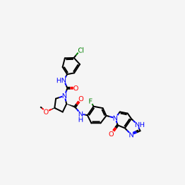 CO[C@@H]1C[C@H](C(=O)Nc2ccc(-n3ccc4[nH]cnc4c3=O)cc2F)N(C(=O)Nc2ccc(Cl)cc2)C1